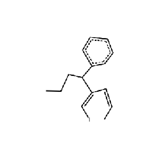 C/C=C\C(=C/I)C(CCC)c1ccccc1